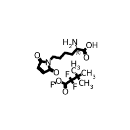 CC(C)(C)C(F)(F)C(=O)OF.N[C@@H](CCCCN1C(=O)C=CC1=O)C(=O)O